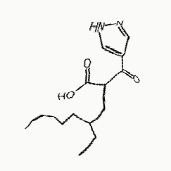 CCCCC(CC)CC(C(=O)O)C(=O)c1cn[nH]c1